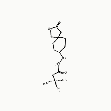 CC(C)(C)OC(=O)NNC1CCC2(CC1)CNC(=O)C2